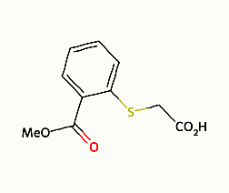 COC(=O)c1ccccc1SCC(=O)O